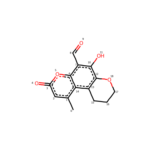 Cc1cc(=O)oc2c(C=O)c(O)c3c(c12)CCCO3